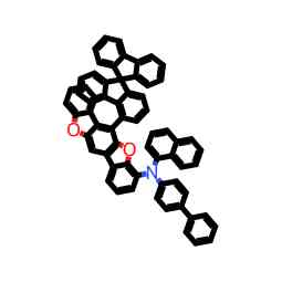 c1ccc(-c2ccc(N(c3cccc4ccccc34)c3cccc4c3oc3c(-c5cccc6c5-c5ccccc5C65c6ccccc6-c6ccccc65)c5c(cc34)oc3ccccc35)cc2)cc1